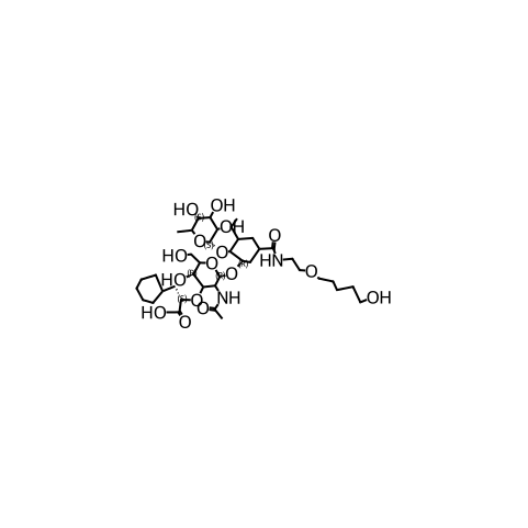 CCC1CC(C(=O)NCCOCCCCCO)C[C@@H](O[C@@H]2OC(CO)[C@H](O)C(O[C@@H](CC3CCCCC3)C(=O)O)C2NC(C)=O)C1O[C@@H]1OC(C)[C@@H](O)C(O)C1O